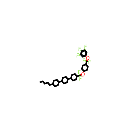 CCCCCC1CCC(C2CCC(C3CCC(C(F)(F)OC4CCC(C(F)(F)Oc5cc(F)c(F)c(F)c5)CC4)CC3)CC2)CC1